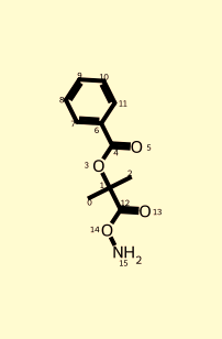 CC(C)(OC(=O)c1ccccc1)C(=O)ON